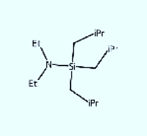 CCN(CC)[Si](CC(C)C)(CC(C)C)CC(C)C